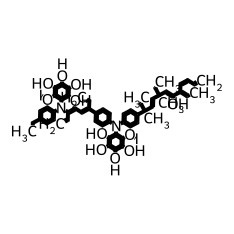 C=C\C=C/C(=C\C)C(/O)=C/C(C)(/C=C/C(C)(CC)c1ccc(N(c2ccc(/C(C=C)=C/C=C(\C=C)N(c3ccc(CC)cc3)c3c(O)c(O)c(O)c(O)c3OI)cc2)c2c(O)c(O)c(O)c(O)c2OI)cc1)CC